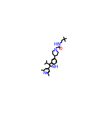 Cc1cc(-c2[nH]c3ccc(C4CCN(CC(=O)NCCC(C)(C)C)CC4)cc3c2C(C)C)cc(C)n1